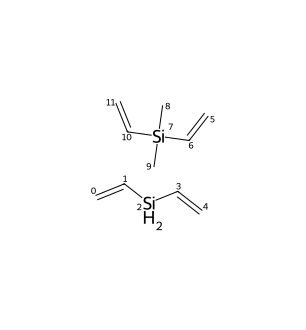 C=C[SiH2]C=C.C=C[Si](C)(C)C=C